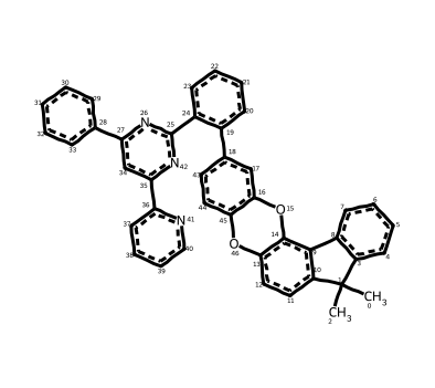 CC1(C)c2ccccc2-c2c1ccc1c2Oc2cc(-c3ccccc3-c3nc(-c4ccccc4)cc(-c4ccccn4)n3)ccc2O1